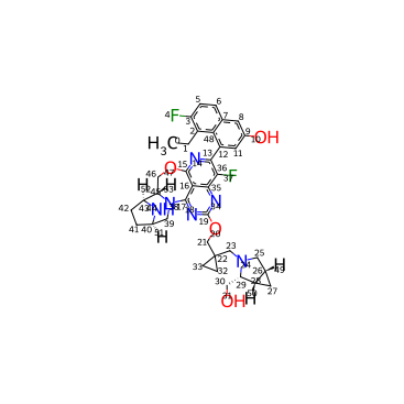 CCc1c(F)ccc2cc(O)cc(-c3nc4c5c(nc(OCC6(CN7C[C@@H]8C[C@@H]8[C@@H]7CO)CC6)nc5c3F)N3C[C@H]5CC[C@H](N5)[C@@H]3CO4)c12